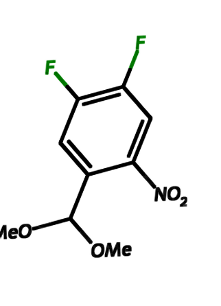 COC(OC)c1cc(F)c(F)cc1[N+](=O)[O-]